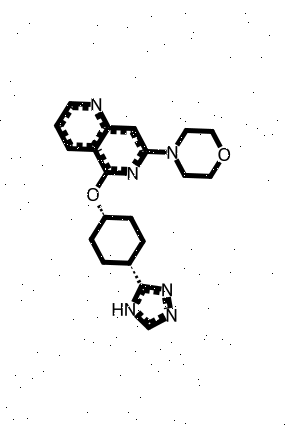 c1cnc2cc(N3CCOCC3)nc(O[C@H]3CC[C@@H](c4nnc[nH]4)CC3)c2c1